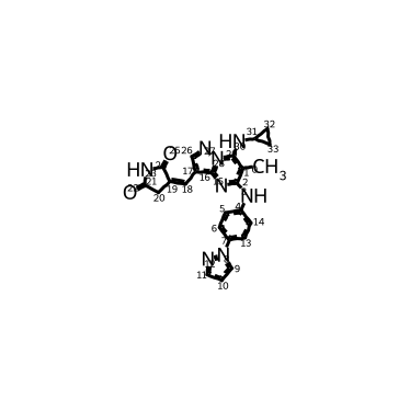 Cc1c(Nc2ccc(-n3cccn3)cc2)nc2c(C=C3CC(=O)NC3=O)cnn2c1NC1CC1